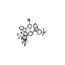 N#Cc1ccc(-c2cc(-c3cc(C(F)(F)F)cc(C(F)(F)F)c3)ccc2-n2c3ccccc3c3cc(C(F)(F)F)ccc32)c(-n2c3ccccc3c3cc(C(F)(F)F)ccc32)c1